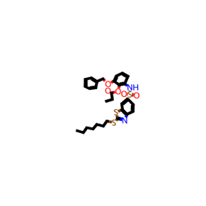 CCCCCCCSc1nc2ccc(S(=O)(=O)Nc3cccc(OCc4ccccc4)c3OC(=O)CC)cc2s1